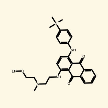 CCOCCN(C)CCNc1ccc(Nc2ccc([N+](C)(C)C)cc2)c2c1C(=O)c1ccccc1C2=O